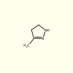 CC1=NNCC1